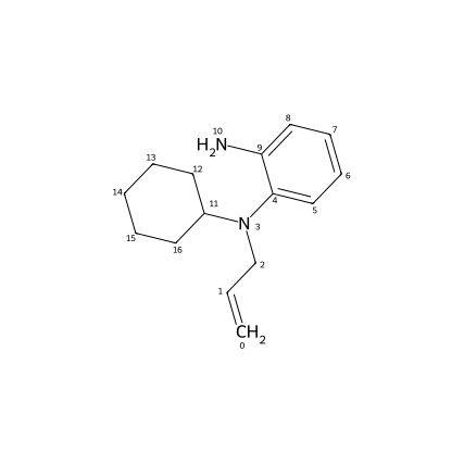 C=CCN(c1ccccc1N)C1CCCCC1